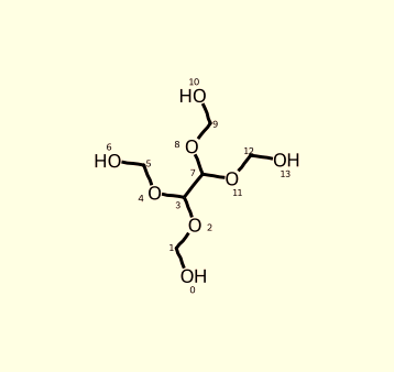 OCOC(OCO)C(OCO)OCO